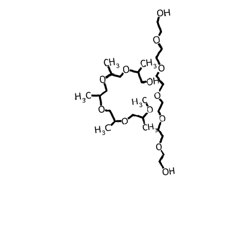 COC(C)COC(C)COC(C)COC(C)COC(C)CO.OCCOCCOCCOCCOCCOCCO